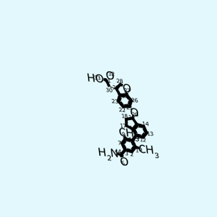 Cc1cc(C(N)=O)cc(C)c1-c1cccc2c1CC[C@H]2Oc1ccc2c(c1)OC[C@H]2CC(=O)O